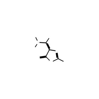 CC1=NC(=C(C)N(C)C)C(=O)O1